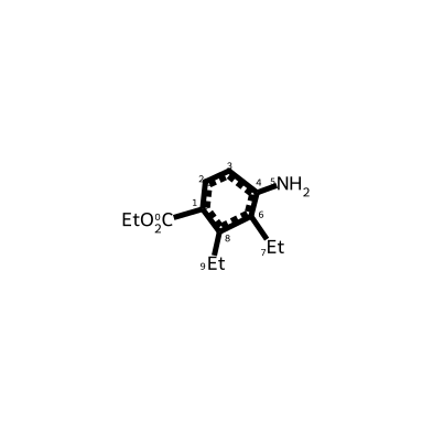 CCOC(=O)c1ccc(N)c(CC)c1CC